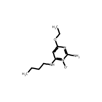 CCCCNc1cc(OCC)nc(N)[n+]1[O-]